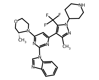 Cc1nn(C2CCNCC2)c(C(F)(F)F)c1-c1cc(N2CCOC[C@H]2C)nc(-n2cnc3ccccc32)n1